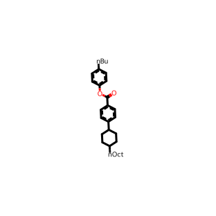 CCCCCCCCC1CCC(c2ccc(C(=O)Oc3ccc(CCCC)cc3)cc2)CC1